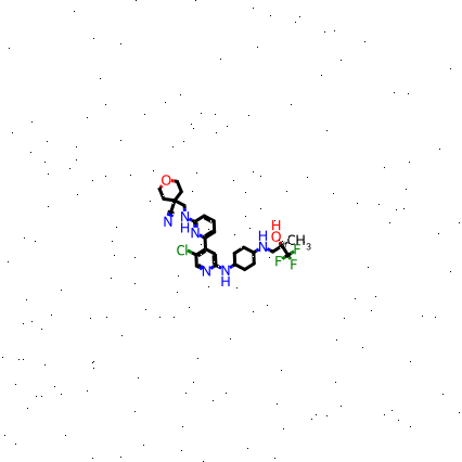 C[C@@](O)(CNC1CCC(Nc2cc(-c3cccc(NCC4(C#N)CCOCC4)n3)c(Cl)cn2)CC1)C(F)(F)F